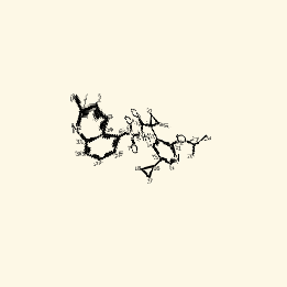 Cc1ccc2c(S(=O)(=O)NC(=O)C3(c4cc(C5CC5)cnc4OC(C)C)CC3)cccc2n1